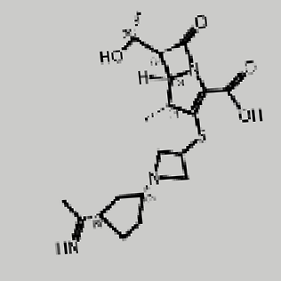 CC(=N)[C@H]1CC[C@@H](N2CC(SC3=C(C(=O)O)N4C(=O)[C@H]([C@@H](C)O)[C@H]4[C@H]3C)C2)C1